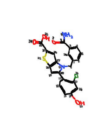 NC(=O)c1cccc(Cn2c(-c3ccc(O)cc3Cl)cc3sc(C(=O)O)cc32)c1